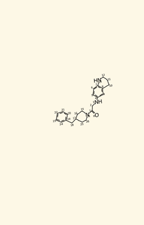 O=C(CNc1ccc2c(c1)CCCN2)N1CCC(Cc2ccccc2)CC1